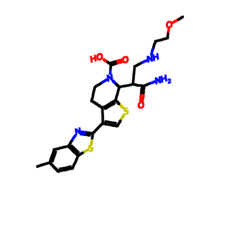 COCCNCC(C(N)=O)C1c2scc(-c3nc4cc(C)ccc4s3)c2CCN1C(=O)O